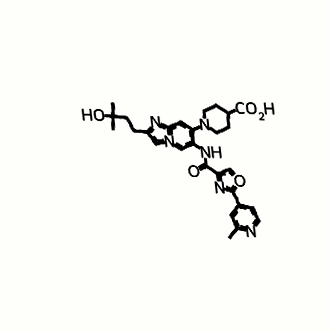 Cc1cc(-c2nc(C(=O)Nc3cn4cc(CCC(C)(C)O)nc4cc3N3CCC(C(=O)O)CC3)co2)ccn1